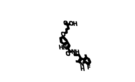 Cc1[nH]c2c(F)ccc(C)c2c1CCNC(=O)c1cc2cc(OCCCC(=O)O)ccc2[nH]1